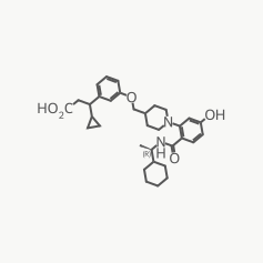 C[C@@H](NC(=O)c1ccc(O)cc1N1CCC(COc2cccc(C(CC(=O)O)C3CC3)c2)CC1)C1CCCCC1